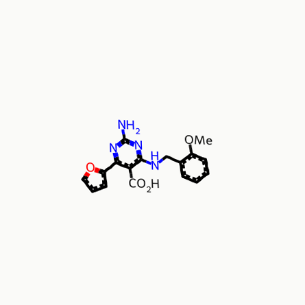 COc1ccccc1CNc1nc(N)nc(-c2ccco2)c1C(=O)O